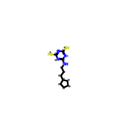 Sc1nc(S)nc(NCCCC2CCCC2)n1